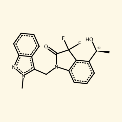 C[C@H](O)c1cccc2c1C(F)(F)C(=O)N2Cc1c2ccccc2nn1C